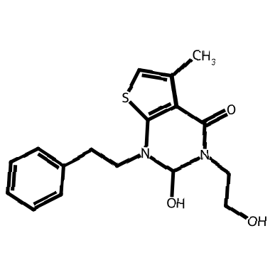 Cc1csc2c1C(=O)N(CCO)C(O)N2CCc1ccccc1